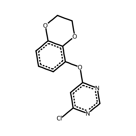 Clc1cc(Oc2cccc3c2OCCO3)ncn1